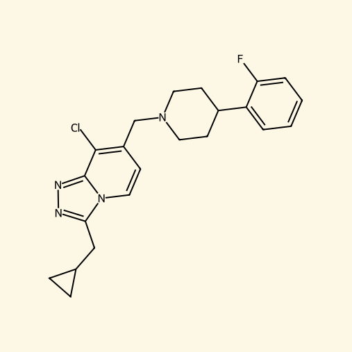 Fc1ccccc1C1CCN(Cc2ccn3c(CC4CC4)nnc3c2Cl)CC1